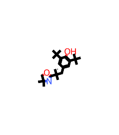 [CH2]C(C)(Cc1cc(C(C)(C)C)c(O)c(C(C)(C)C)c1)C1=NC(C)(C)CO1